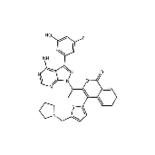 CC(c1oc(=O)c2c(c1-c1ccc(CN3CCCC3)s1)=CCCC=2)n1nc(-c2cc(O)cc(F)c2)c2c(N)ncnc21